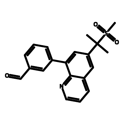 CC(C)(c1cc(-c2cccc(C=O)c2)c2ncccc2c1)S(C)(=O)=O